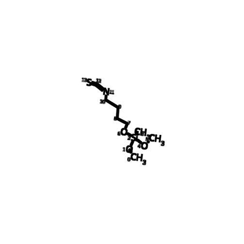 CO[Si](C)(OC)OCCCCN=C=S